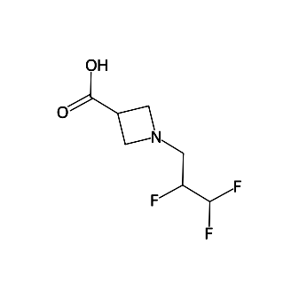 O=C(O)C1CN(CC(F)C(F)F)C1